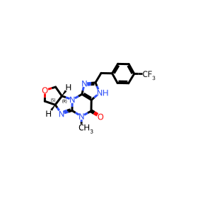 CN1C(=O)c2[nH]c(Cc3ccc(C(F)(F)F)cc3)nc2N2C1=N[C@@H]1COC[C@@H]12